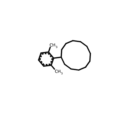 Cc1cccc(C)c1C1CCCCCCCCCCC1